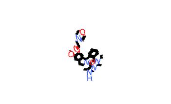 CCN(CC)C(=O)c1ccccc1C1c2cc(OCCN3CCOCC3)c(OC)cc2CCN1Cc1nc[nH]c1C